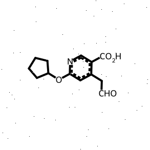 O=CCc1cc(OC2CCCC2)ncc1C(=O)O